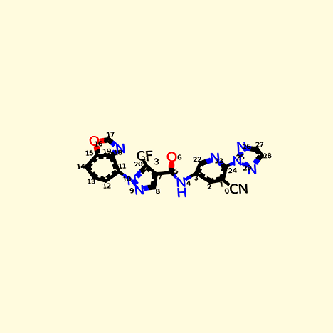 N#Cc1cc(NC(=O)c2cnn(-c3cccc4ocnc34)c2C(F)(F)F)cnc1-n1nccn1